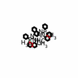 Cc1cccc(C)c1N/C(=N\c1ccc(/N=C(\Nc2c(C)cccc2C)P(c2ccccc2)c2ccccc2)c2ccccc12)P(c1ccccc1)c1ccccc1